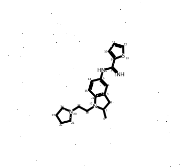 CC1Cc2cc(NC(=N)c3cccs3)ccc2N1CCN1CCCC1